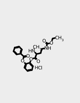 CCOC(=O)NCCC(NC)C(=O)Oc1ccccc1OC(=O)c1ccccc1.Cl